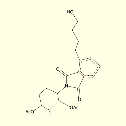 CC(=O)OC1CCC(N2C(=O)c3cccc(CCCCO)c3C2=O)C(OC(C)=O)N1